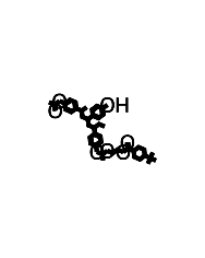 CCC(CC(CC(C)c1ccc(OC(C)=O)cc1)c1ccc(O)cc1)c1ccc(OC(C)OCCOC(=O)C2CCC(C(C)(C)C)CC2)cc1